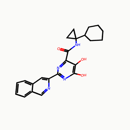 O=C(NC1(C2CCCCC2)CC1)c1nc(-c2cc3ccccc3cn2)nc(O)c1O